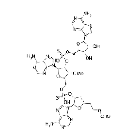 CO[C@H]1[C@@H](OP(O)(=S)OC[C@H]2O[C@@H](n3cnc4c(N)ncnc43)[C@H](O)[C@@H]2O)[C@H](n2cnc3c(N)ncnc32)O[C@@H]1COP(O)(=S)O[C@@H]1C[C@@H](CCOC=O)O[C@H]1n1cnc2c(N)ncnc21